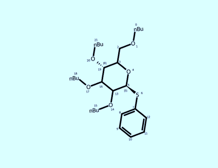 CCCCOCC1O[C@@H](Sc2ccccc2)C(OCCCC)C(OCCCC)[C@@H]1OCCCC